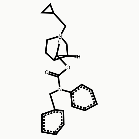 O=C(O[C@H]1C[N+]2(CC3CC3)CCC1CC2)N(Cc1ccccc1)c1ccccc1